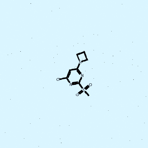 CS(=O)(=O)c1nc(Cl)cc(N2CCC2)n1